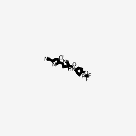 N#Cc1cc(Cl)c(-c2ccc(C(=O)Nc3ccc(OC(F)(F)F)cc3)cn2)cn1